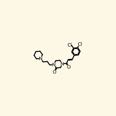 O=C(C=Cc1ccc(Cl)c(Cl)c1)N1CCN(CCCN2CCCCC2)C(=O)C1